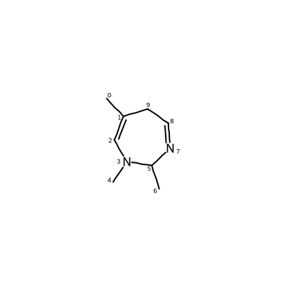 CC1=CN(C)C(C)N=CC1